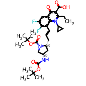 CCc1c(C(=O)O)c(=O)c2cc(F)c(F)c(C=CC[C@@H]3C[C@H](NC(=O)OC(C)(C)C)CN3C(=O)OC(C)(C)C)c2n1C1CC1